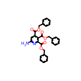 Nc1cc(C(=O)OCc2ccccc2)c(C(=O)OCc2ccccc2)c(C(=O)OCc2ccccc2)n1